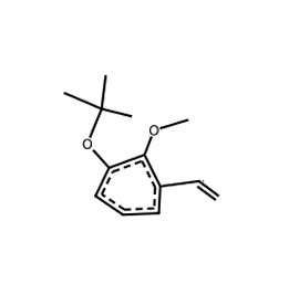 C=[C]c1cccc(OC(C)(C)C)c1OC